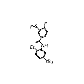 C=C(Nc1cc(C(C)(C)C)ccc1CC)c1ccc(F)c(SF)c1